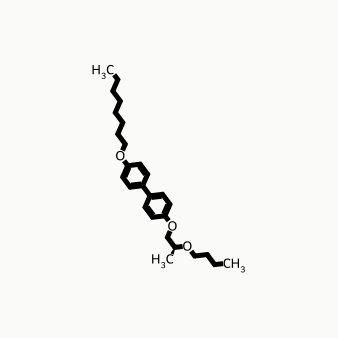 CCCCCCCCOc1ccc(-c2ccc(OC[C@H](C)OCCCC)cc2)cc1